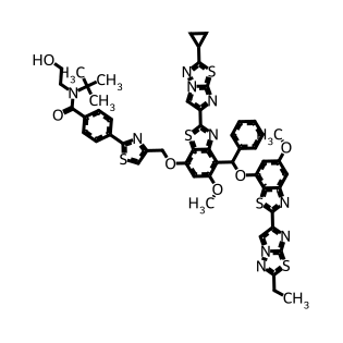 CCc1nn2cc(-c3nc4cc(OC)cc(OC(c5ccccc5)c5c(OC)cc(OCc6csc(-c7ccc(C(=O)N(CCO)C(C)(C)C)cc7)n6)c6sc(-c7cn8nc(C9CC9)sc8n7)nc56)c4s3)nc2s1